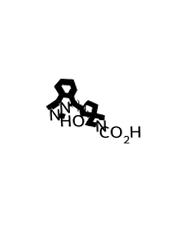 O=C(O)N1CC2(CC[C@H]([C@@H]3c4ccccc4-c4cncn43)[C@H]2O)C1